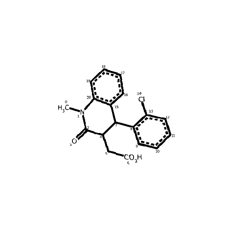 CN1C(=O)C(CC(=O)O)C(c2ccccc2Cl)c2ccccc21